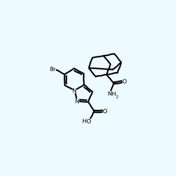 NC(=O)C12CC3CC(CC(C3)C1)C2.O=C(O)c1cc2ccc(Br)cn2n1